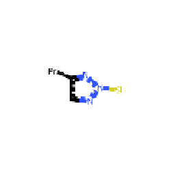 CC(C)c1cnn(S)n1